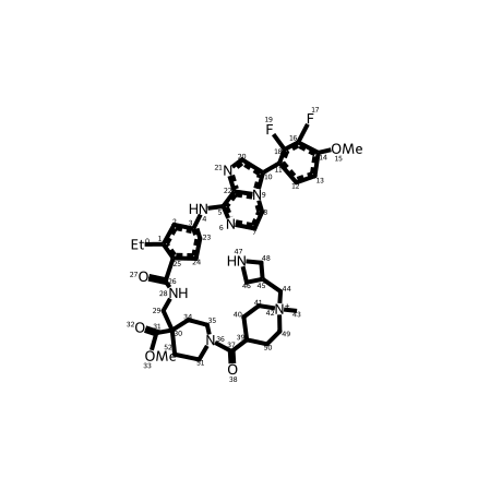 CCc1cc(Nc2nccn3c(-c4ccc(OC)c(F)c4F)cnc23)ccc1C(=O)NCC1(C(=O)OC)CCN(C(=O)C2CC[N+](C)(CC3CNC3)CC2)CC1